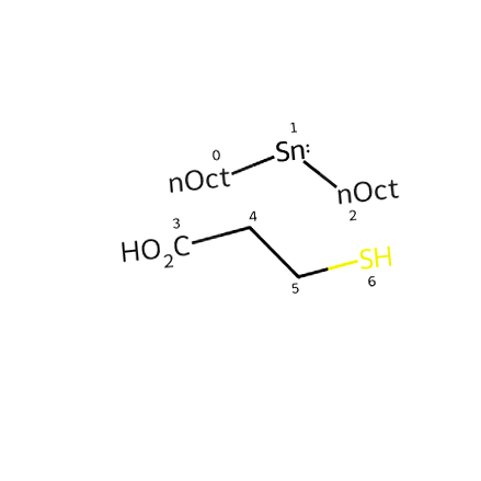 CCCCCCC[CH2][Sn][CH2]CCCCCCC.O=C(O)CCS